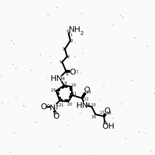 NCCCCCC(=O)Nc1cc(C(=O)NCCC(=O)O)cc([N+](=O)[O-])c1